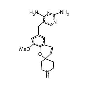 COc1cc(Cc2cnc(N)nc2N)cc2c1OC1(C=C2)CCNCC1